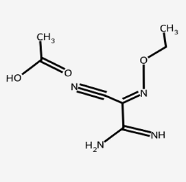 CC(=O)O.CCON=C(C#N)C(=N)N